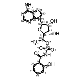 C[C@H](OS(=O)(=O)NC(=O)c1ccccc1O)[C@H]1O[C@@H](n2cnc3c(N)ncnc32)[C@H](O)[C@@H]1O